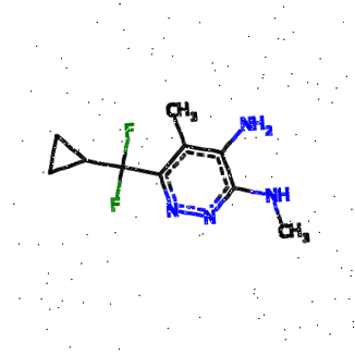 CNc1nnc(C(F)(F)C2CC2)c(C)c1N